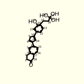 O=C1CCc2cc(C3=CCC(c4ccc(CCC(O)(O)O)c(O)c4)=C3)ccc2C1